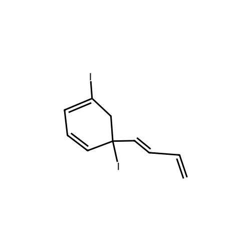 C=CC=CC1(I)C=CC=C(I)C1